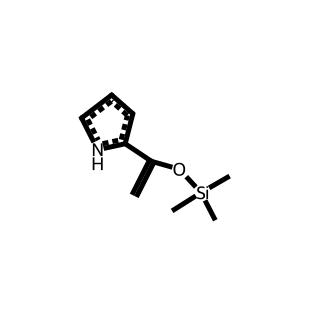 C=C(O[Si](C)(C)C)c1ccc[nH]1